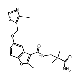 Cc1ncsc1COc1ccc2oc(C)c(C(=O)NCC(C)(C)C(N)=O)c2c1